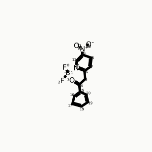 F[B]F.O=C(Cc1ccc([N+](=O)[O-])cn1)c1ccccc1